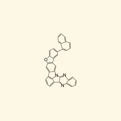 c1ccc2c(-c3ccc4oc5cc6c7cccc8c9nc%10ccccc%10nc9n(c6cc5c4c3)c78)cccc2c1